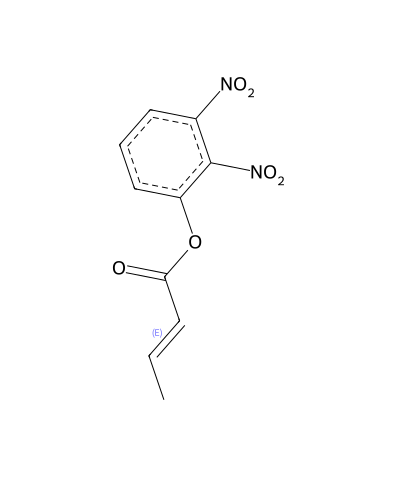 C/C=C/C(=O)Oc1cccc([N+](=O)[O-])c1[N+](=O)[O-]